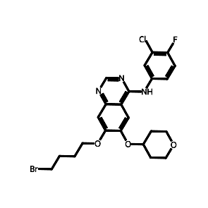 Fc1ccc(Nc2ncnc3cc(OCCCCBr)c(OC4CCOCC4)cc23)cc1Cl